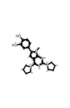 Cn1c(-c2ccc(O)c(O)c2)cc2c(N3CCCC3)nc(N3CCCC3)nc21